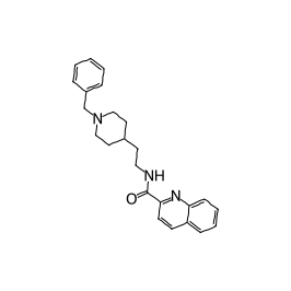 O=C(NCCC1CCN(Cc2ccccc2)CC1)c1ccc2ccccc2n1